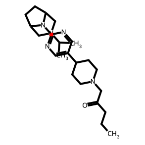 CCCC(=O)CN1CCC(c2cnc(N3C4CCC3CN(C(C)C)C4)nc2)CC1